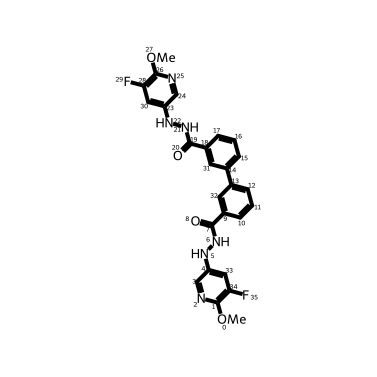 COc1ncc(NNC(=O)c2cccc(-c3cccc(C(=O)NNc4cnc(OC)c(F)c4)c3)c2)cc1F